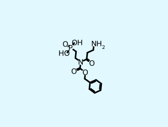 NCCC(=O)N(CCP(=O)(O)O)C(=O)OCc1ccccc1